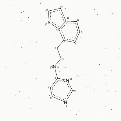 c1cc(CCNc2ccncn2)c2sccc2c1